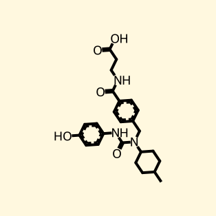 CC1CCC(N(Cc2ccc(C(=O)NCCC(=O)O)cc2)C(=O)Nc2ccc(O)cc2)CC1